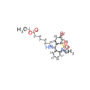 CCOC(=O)CCCCCCNC1c2ccccc2N(C)S(=O)(=O)c2cc(Br)ccc21